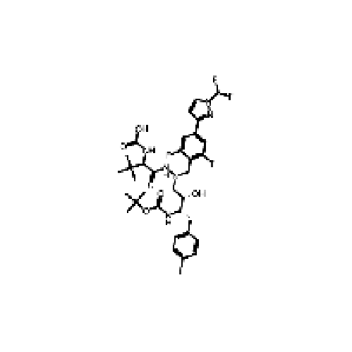 CC(C)(C)OC(=O)N[C@@H](Cc1ccc(I)cc1)[C@@H](O)CN(Cc1c(F)cc(-c2ccn(C(F)F)n2)cc1F)NC(=O)C(NC(=O)O)C(C)(C)C